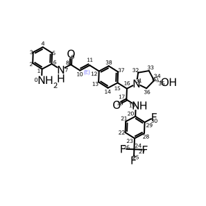 Nc1ccccc1NC(=O)/C=C/c1ccc(C(C(=O)Nc2ccc(C(F)(F)F)cc2F)N2CC[C@H](O)C2)cc1